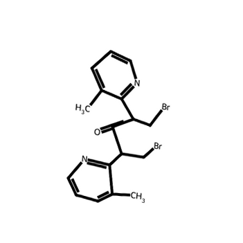 Cc1cccnc1C(CBr)C(=O)C(CBr)c1ncccc1C